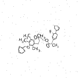 Cc1c(C)c2c(c(C)c1OCc1ccccc1)CCC(C)(CCOC(=O)C(C)c1ccc(-c3ccccc3)c(F)c1)O2